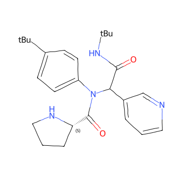 CC(C)(C)NC(=O)C(c1cccnc1)N(C(=O)[C@@H]1CCCN1)c1ccc(C(C)(C)C)cc1